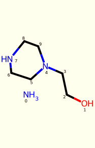 N.OCCN1CCNCC1